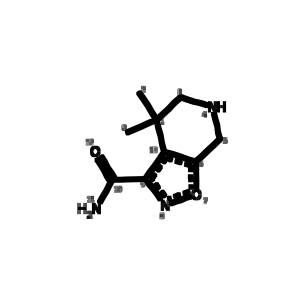 CC1(C)CNCc2onc(C(N)=O)c21